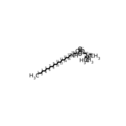 CCCCCCCCCCCCCCCCCCNCCOP(=O)([O-])OCC[N+](CC)(CC)CC